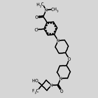 CN(C)C(=O)c1ccc(N2CCC(OC3CCN(C(=O)N4CC(O)(C(F)(F)F)C4)CC3)CC2)cc1Cl